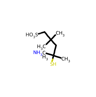 CC(C)(S)CC(C)(C)CS(=O)(=O)O.N